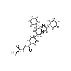 CC(=O)C=CC(=O)c1ccc(-c2cc(-c3ccccc3)c3nc(-c4ccccc4)cn3c2)cc1